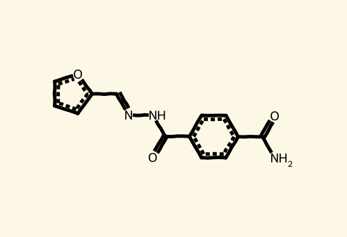 NC(=O)c1ccc(C(=O)N/N=C/c2ccco2)cc1